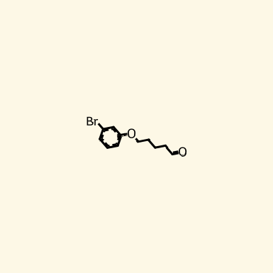 O=CCCCCOc1cccc(Br)c1